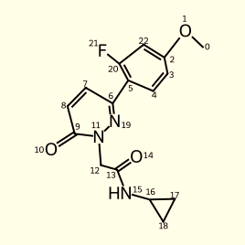 COc1ccc(-c2ccc(=O)n(CC(=O)NC3CC3)n2)c(F)c1